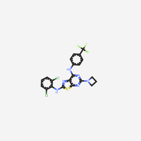 FC(F)(F)c1ccc(Nc2nc(N3CCC3)nc3sc(Nc4c(Cl)cccc4Cl)nc23)cc1